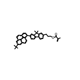 C=C(C)C(=O)OCCCc1ccc2c(c1)C(C)(C)c1cc(-c3ccc4ccc5cc(C(C)(C)C)cc6ccc3c4c56)ccc1-2